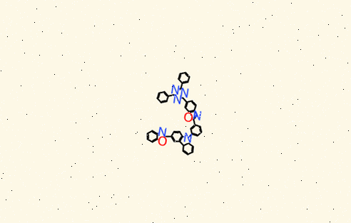 C1=CC2c3cc(-c4nc5ccccc5o4)ccc3N(c3cccc(-c4nc5ccc(-c6nc(-c7ccccc7)nc(-c7ccccc7)n6)cc5o4)c3)C2C=C1